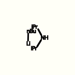 CC(C)NC(C)C.[Li][CH2]CCC